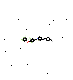 C=CC1CCC(/C=C/c2ccc3nc(-c4cc(F)c(C(F)(F)Oc5cc(F)c(F)c(F)c5)c(F)c4)sc3c2)CC1